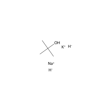 CC(C)(C)O.[H-].[H-].[K+].[Na+]